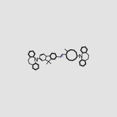 Cc1cccc(N2c3ccccc3CCc3ccccc32)ccccc1/C=C/c1ccc2c(c1)C(C)(C)C1C=C(N3c4ccccc4CCc4ccccc43)C=CC21